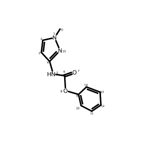 Cn1ccc(NC(=O)Oc2ccccc2)n1